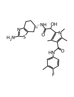 Cc1cc(NC(=O)c2c(C)c(C(O)C(=O)N[C@H]3CCc4nc(N)sc4C3)n(C)c2C)ccc1F